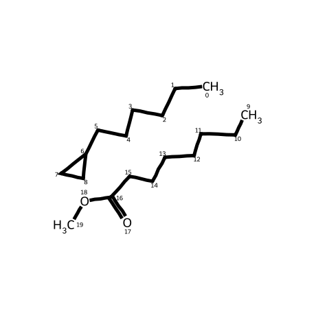 CCCCCCC1CC1.CCCCCCCC(=O)OC